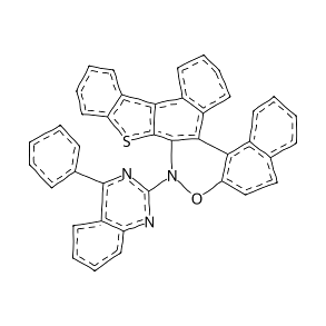 c1ccc(-c2nc(N3Oc4ccc5ccccc5c4-c4c3c3sc5ccccc5c3c3ccccc43)nc3ccccc23)cc1